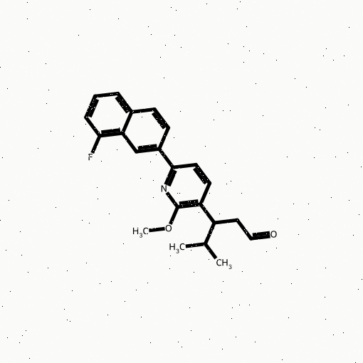 COc1nc(-c2ccc3cccc(F)c3c2)ccc1C(CC=O)C(C)C